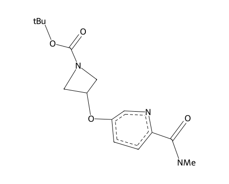 CNC(=O)c1ccc(OC2CN(C(=O)OC(C)(C)C)C2)cn1